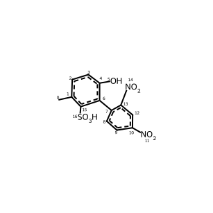 Cc1ccc(O)c(-c2ccc([N+](=O)[O-])cc2[N+](=O)[O-])c1S(=O)(=O)O